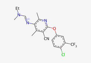 CCN(C)/C=N/c1c(C)nc(Oc2ccc(Cl)c(C(F)(F)F)c2)c(C#N)c1C